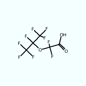 O=C(O)C(F)(F)OC(F)(C(F)(F)F)C(F)(F)F